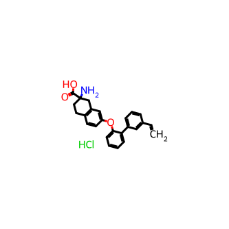 C=Cc1cccc(-c2ccccc2Oc2ccc3c(c2)CC(N)(C(=O)O)CC3)c1.Cl